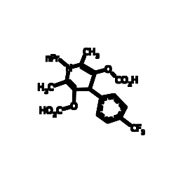 CCCN1C(C)=C(OC(=O)O)C(c2ccc(C(F)(F)F)cc2)C(OC(=O)O)=C1C